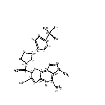 Cn1ncc2c3cc(C(=O)N4CC[C@H](c5ccc(C(F)(F)F)cc5)C4)c(F)cc3nc(N)c21